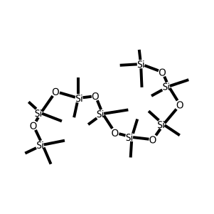 C[Si](C)(C)O[Si](C)(C)O[Si](C)(C)O[Si](C)(C)O[Si](C)(C)O[Si](C)(C)O[Si](C)(C)O[Si](C)(C)C